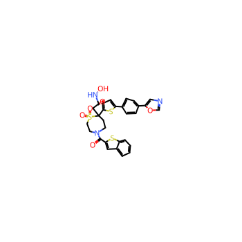 O=C(CC1(c2ccc(-c3ccc(-c4cnco4)cc3)s2)CCN(C(=O)c2cc3ccccc3s2)CCS1(=O)=O)NO